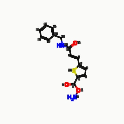 NOC(=O)c1ccc(C=CC(=O)NCc2ccccc2)s1